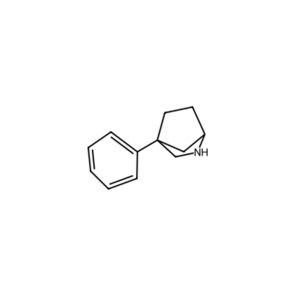 c1ccc(C23CCC(C2)NC3)cc1